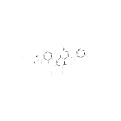 Cc1cccc(Nc2c(C)c(=O)oc3c(-c4cccc(NS(C)(=O)=O)c4C)c(C)[nH]c(=O)c23)c1F